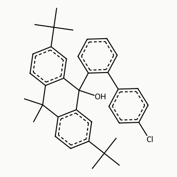 CC(C)(C)c1ccc2c(c1)C(O)(c1ccccc1-c1ccc(Cl)cc1)c1cc(C(C)(C)C)ccc1C2(C)C